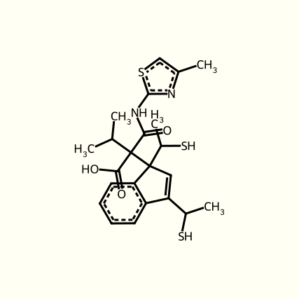 Cc1csc(NC(=O)C(C(=O)O)(C(C)C)C2(C(C)S)C=C(C(C)S)c3ccccc32)n1